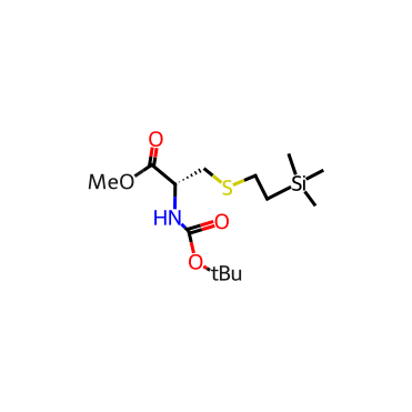 COC(=O)[C@H](CSCC[Si](C)(C)C)NC(=O)OC(C)(C)C